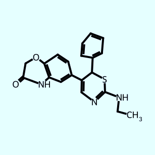 CCNC1=NC=C(c2ccc3c(c2)NC(=O)CO3)C(c2ccccc2)S1